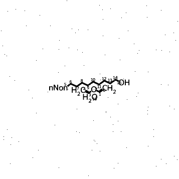 C=COC=C.CCCCCCCCCCCCCCCCCCO.O